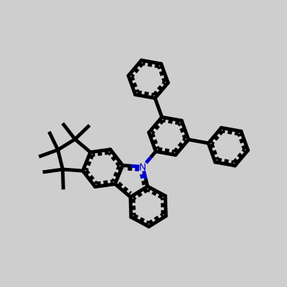 CC1(C)c2cc3c4ccccc4n(-c4cc(-c5ccccc5)cc(-c5ccccc5)c4)c3cc2C(C)(C)C1(C)C